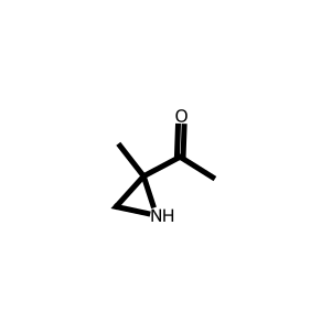 CC(=O)C1(C)CN1